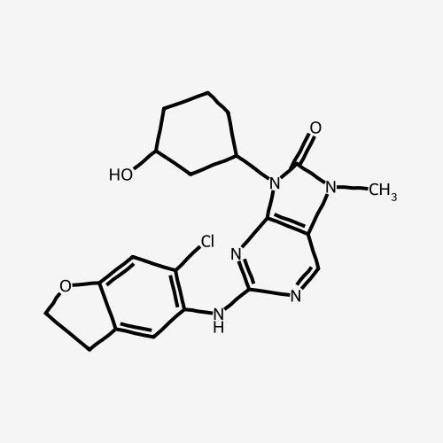 Cn1c(=O)n(C2CCCC(O)C2)c2nc(Nc3cc4c(cc3Cl)OCC4)ncc21